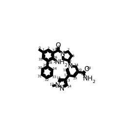 Cc1cc(C(=O)N2CCC(N3C=C(c4cnn(C)c4)C=C(C(N)=O)C3)C2)c(N)c(-c2ccccc2)c1